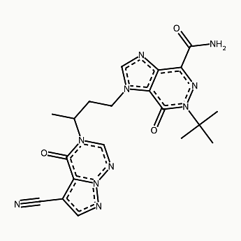 CC(CCn1cnc2c(C(N)=O)nn(C(C)(C)C)c(=O)c21)n1cnn2ncc(C#N)c2c1=O